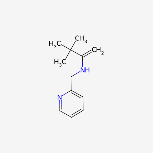 C=C(NCc1ccccn1)C(C)(C)C